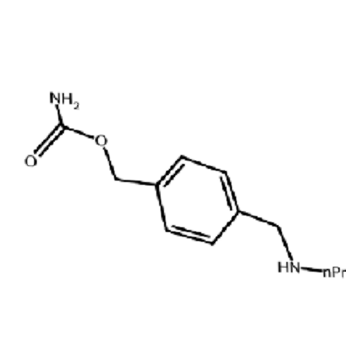 CCCNCc1ccc(COC(N)=O)cc1